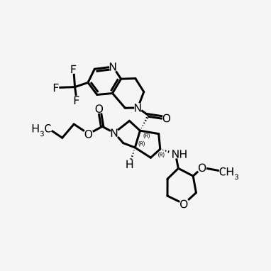 CCCOC(=O)N1C[C@@H]2C[C@@H](NC3CCOCC3OC)C[C@]2(C(=O)N2CCc3ncc(C(F)(F)F)cc3C2)C1